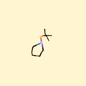 CC(C)(C)ON1CCCC1